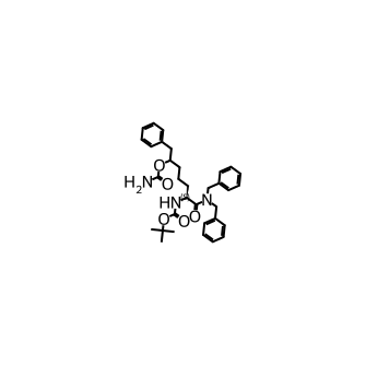 CC(C)(C)OC(=O)N[C@@H](CCCC(Cc1ccccc1)OC(N)=O)C(=O)N(Cc1ccccc1)Cc1ccccc1